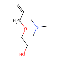 C=C[SiH2]OCCO.CN(C)C